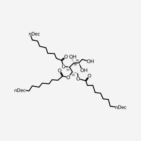 CCCCCCCCCCCCCCCCCC(=O)OC[C@H](OC(=O)CCCCCCCCCCCCCCCCC)[C@@H](OC(=O)CCCCCCCCCCCCCCCCC)[C@H](O)[C@H](O)CO